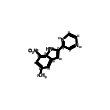 Cc1cc([N+](=O)[O-])c2[nH]c(-c3cnccn3)cc2c1